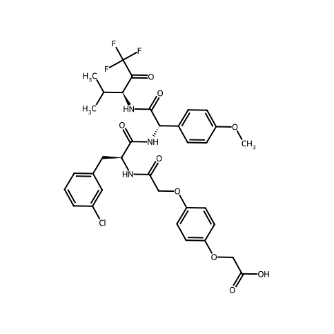 COc1ccc([C@H](NC(=O)[C@H](Cc2cccc(Cl)c2)NC(=O)COc2ccc(OCC(=O)O)cc2)C(=O)N[C@H](C(=O)C(F)(F)F)C(C)C)cc1